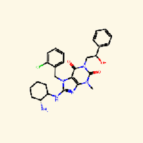 Cn1c(=O)n(CC(O)c2ccccc2)c(=O)c2c1nc(NC1CCCC[C@H]1N)n2Cc1ccccc1Cl